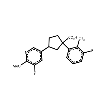 COc1ncc(C2CCC(C(=O)O)(c3cccc(F)c3C)C2)cc1F